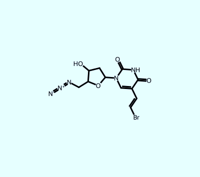 [N-]=[N+]=NCC1OC(n2cc(/C=C/Br)c(=O)[nH]c2=O)CC1O